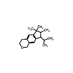 CC(C)C1c2cc3c(cc2C(C)(C)C1C)CCOC3